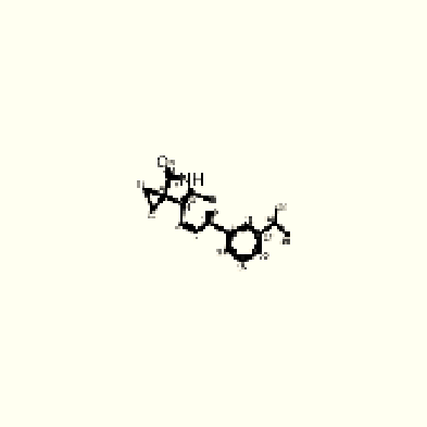 C=C(/C=C\C1=C(C)NC(=O)C12CC2)c1cccc(C(C)C)c1